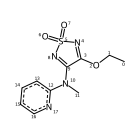 CCOC1=NS(=O)(=O)N=C1N(C)c1ccccn1